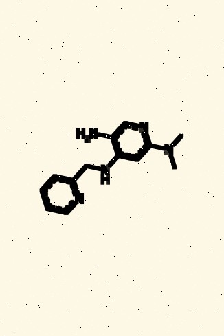 CN(C)c1cc(NCc2ccccn2)c(N)cn1